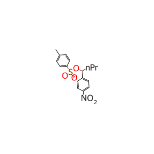 CCCC(OS(=O)(=O)c1ccc(C)cc1)c1ccc([N+](=O)[O-])cc1